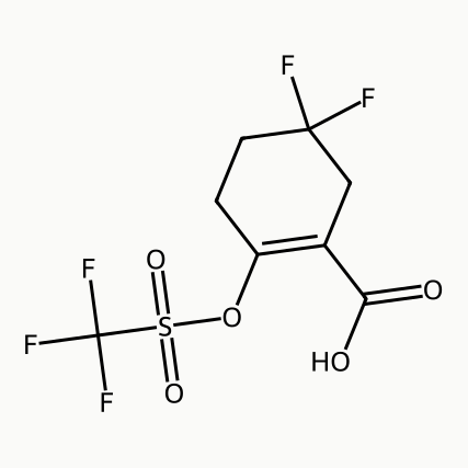 O=C(O)C1=C(OS(=O)(=O)C(F)(F)F)CCC(F)(F)C1